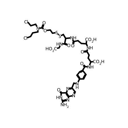 Nc1nc2ncc(CNc3ccc(C(=O)NC(CCC(=O)NC(CCC(=O)NC(CSSCCOC(=O)N(CCCl)CCCCl)C(=O)NCC(=O)O)C(=O)O)C(=O)O)cc3)nc2c(=O)[nH]1